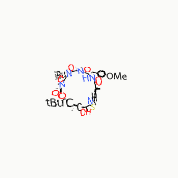 CC[C@H](C)[C@H]1C(=O)N(C)[C@@H](C)C(=O)O[C@H](C(C)(C)C)C[C@@H](C)C[C@H](O)C(C)C2=N[C@@H](/C=C(\C)C(=O)N[C@@H](Cc3ccc(OC)cc3)C(=O)N(C)[C@@H](C)C(=O)N1C)CS2